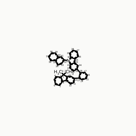 CC1(C)c2ccccc2-c2ccc(-c3ccccc3-c3ccc4c(c3)c3ccccc3n4-c3ccc4ccccc4c3)cc21